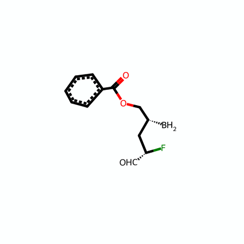 B[C@@H](COC(=O)c1ccccc1)C[C@H](F)C=O